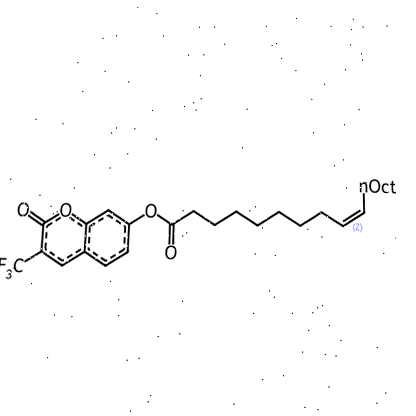 CCCCCCCC/C=C\CCCCCCCC(=O)Oc1ccc2cc(C(F)(F)F)c(=O)oc2c1